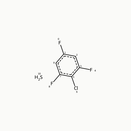 Fc1cc(F)c(Cl)c(F)c1.S